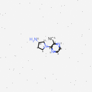 N#Cc1nccnc1N1CC[C@H](N)C1